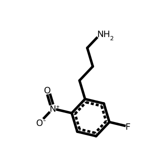 NCCCc1cc(F)ccc1[N+](=O)[O-]